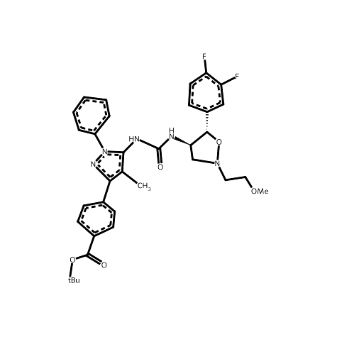 COCCN1C[C@@H](NC(=O)Nc2c(C)c(-c3ccc(C(=O)OC(C)(C)C)cc3)nn2-c2ccccc2)[C@H](c2ccc(F)c(F)c2)O1